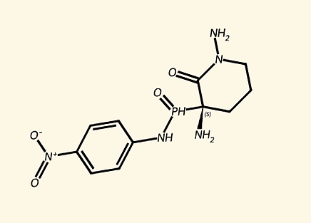 NN1CCC[C@](N)([PH](=O)Nc2ccc([N+](=O)[O-])cc2)C1=O